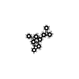 CC1(C)c2ccccc2-c2cccc(N(c3ccc(-c4ccc5c(c4)c4ccccc4n5-c4ccccc4)cc3)c3cccc4c3c3ccccc3n4-c3ccccc3)c21